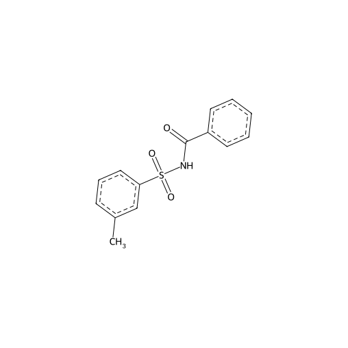 Cc1cccc(S(=O)(=O)NC(=O)c2ccccc2)c1